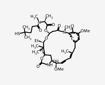 CC[C@H]1O[C@@H](OC(=O)[C@H](C)N(C)C(=O)CCC(C)(C)S)CC(=O)N(C)c2cc(cc(OC)c2Cl)C/C(C)=C/C=C/[C@@H](OC)[C@@]2(O)C[C@H](OC(=O)N2)C1(C)C